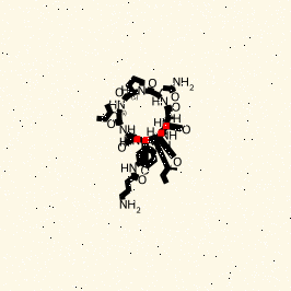 CCC(C)[C@@H]1NC(=O)[C@@H]2CCCN2C(=O)[C@H](CC(N)=O)NC(=O)[C@@H]2CSc3[nH]c4ccc(NC(=O)CCCN)cc4c3C[C@H](NC1=O)C(=O)NCC(=O)N[C@@H]([C@@H](C)CC)C(=O)NCC(=O)N2